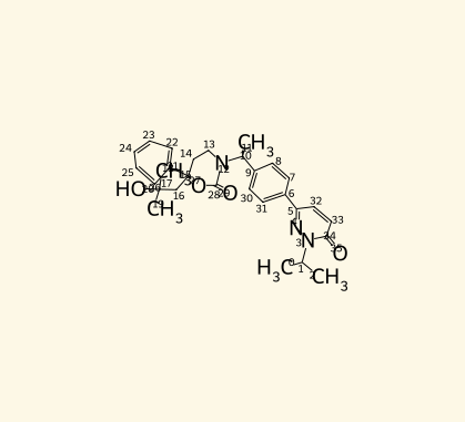 CC(C)n1nc(-c2ccc([C@H](C)N3CCC(CC(C)(C)O)(c4ccccc4)OC3=O)cc2)ccc1=O